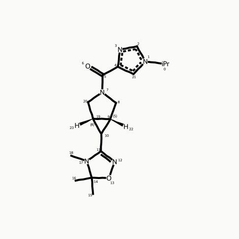 CC(C)n1cnc(C(=O)N2C[C@@H]3C(C4=NOC(C)(C)N4C)[C@@H]3C2)c1